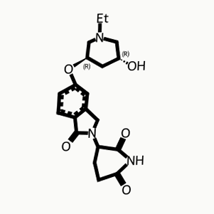 CCN1C[C@H](O)C[C@@H](Oc2ccc3c(c2)CN(C2CCC(=O)NC2=O)C3=O)C1